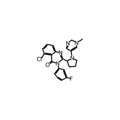 CN1C=C(N2CCCC2c2nc3cccc(Cl)c3c(=O)n2-c2cccc(F)c2)C=NC1